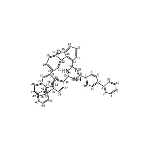 c1ccc(-c2ccc(C3=NC(c4cccc5oc6ccc(-c7ccc8ccccc8c7)cc6c45)NC(c4ccc(-c5ccccc5)cc4)N3)cc2)cc1